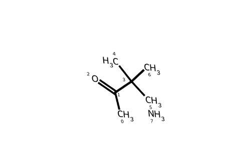 CC(=O)C(C)(C)C.N